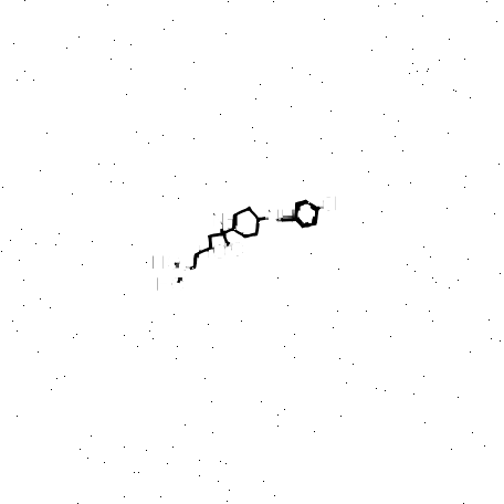 NC(CCCCB(O)O)(C(=O)O)C1CCC(NCc2ccc(Cl)cc2)CC1